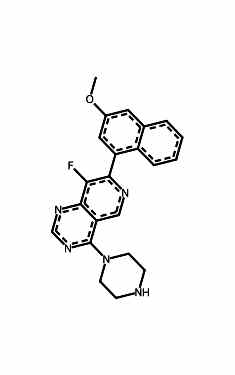 COc1cc(-c2ncc3c(N4CCNCC4)ncnc3c2F)c2ccccc2c1